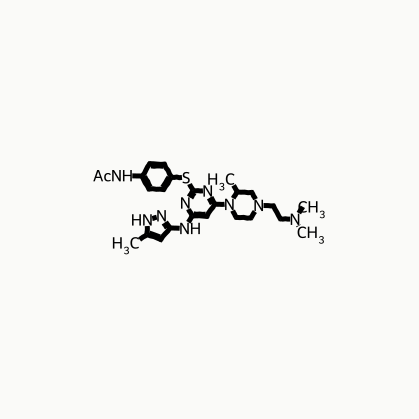 CC(=O)Nc1ccc(Sc2nc(Nc3cc(C)[nH]n3)cc(N3CCN(CCN(C)C)CC3C)n2)cc1